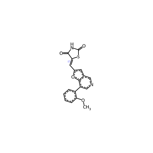 COc1ccccc1-c1cncc2cc(/C=C3\SC(=O)NC3=O)oc12